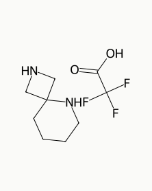 C1CCC2(CNC2)NC1.O=C(O)C(F)(F)F